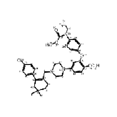 CC1(C)CCC(CN2CCN(c3ccc(C(=O)O)c(Oc4ccc(N(CC(F)(F)F)C(=O)OC(C)(C)C)nc4)c3)CC2)=C(c2ccc(Cl)cc2)C1